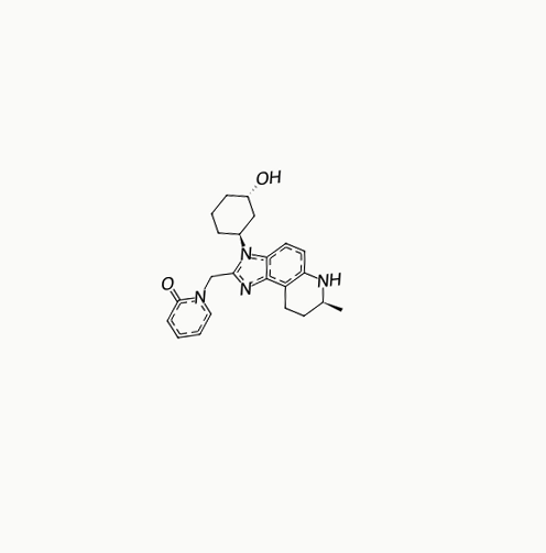 C[C@H]1CCc2c(ccc3c2nc(Cn2ccccc2=O)n3[C@H]2CCC[C@H](O)C2)N1